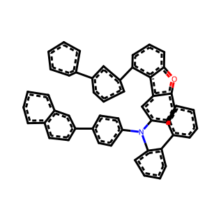 c1ccc(-c2cccc(-c3cccc4oc5ccc(N(c6ccc(-c7ccc8ccccc8c7)cc6)c6ccccc6-c6ccccc6)cc5c34)c2)cc1